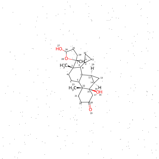 C[C@]1([C@@]2(C)CCC3C(C2C2CC2)[C@H]2C[C@H]2[C@]2(O)CC(=O)CC[C@]32C)CCC(O)O1